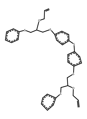 C=CCOC(CSc1ccccc1)CSc1ccc(Sc2ccc(SCC(CSc3ccccc3)OCC=C)cc2)cc1